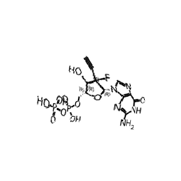 C#C[C@@]1(F)[C@H](O)[C@@H](COP(=O)(O)OP(=O)(O)O)O[C@H]1n1cnc2c(=O)[nH]c(N)nc21